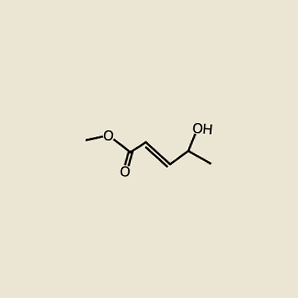 COC(=O)C=CC(C)O